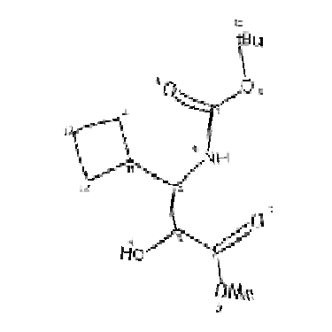 COC(=O)C(O)C(NC(=O)OC(C)(C)C)C1CCC1